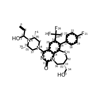 C=CC(O)N1[C@H](C)CN(c2nc(=O)n3c4c(c(-c5ccc(F)cc5)c(C(F)(F)F)cc24)SC[C@H](CO)C3)C[C@@H]1C